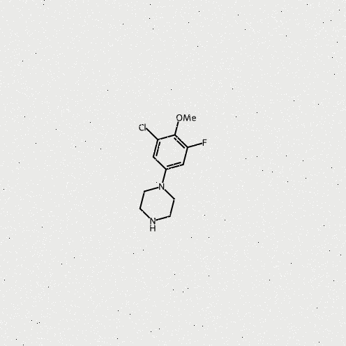 COc1c(F)cc(N2CCNCC2)cc1Cl